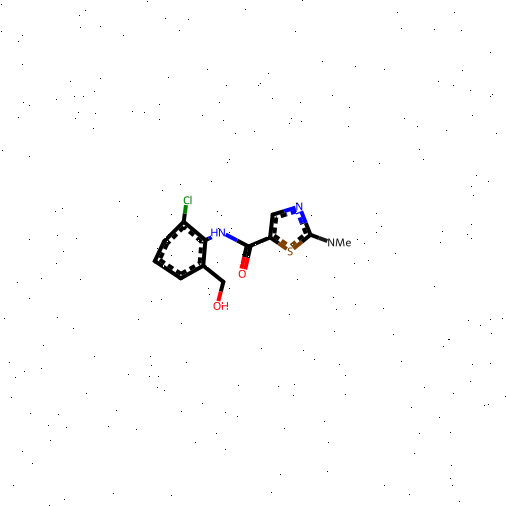 CNc1ncc(C(=O)Nc2c(Cl)cccc2CO)s1